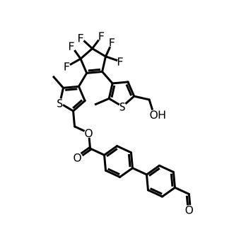 Cc1sc(CO)cc1C1=C(c2cc(COC(=O)c3ccc(-c4ccc(C=O)cc4)cc3)sc2C)C(F)(F)C(F)(F)C1(F)F